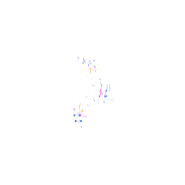 N=[N+]=N.[N-]=[N+]=NS(=O)(=O)c1ccc(Oc2ccc(S(=O)(=O)N=[N+]=[N-])cc2)cc1